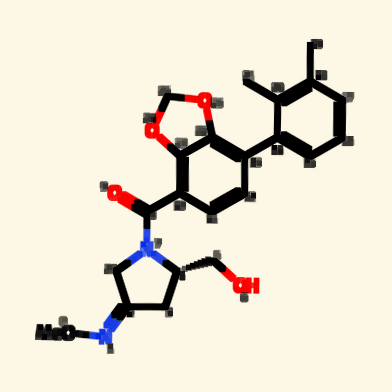 CO/N=C1/C[C@@H](CO)N(C(=O)c2ccc(-c3cccc(C)c3C)c3c2OCO3)C1